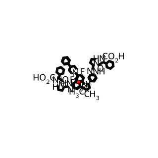 CC1C[C@H](c2ccc3[nH]c(C4CCCN4C(=O)C(NC(=O)O)C4CCCCC4)nc3c2)N(c2cc(F)c(N3CCC(c4ccccc4)CC3)c(F)c2)[C@]1(C)c1ccc2[nH]c(C3CCCN3C(=O)[C@@H](NC(=O)O)C3CCCCC3)nc2c1